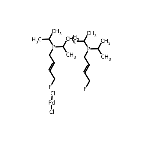 CC(C)P(CC=CCF)C(C)C.CC(C)P(CC=CCF)C(C)C.[Cl][Pd][Cl]